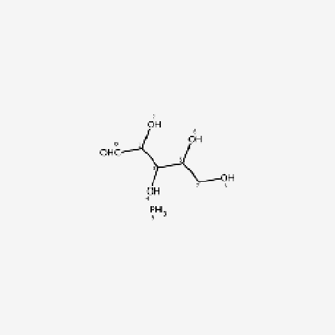 O=CC(O)C(O)C(O)CO.P